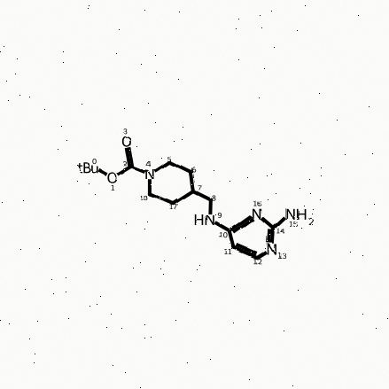 CC(C)(C)OC(=O)N1CCC(CNc2ccnc(N)n2)CC1